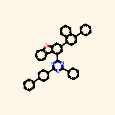 c1ccc(-c2ccc(-c3nc(-c4ccccc4)nc(-c4cc(-c5ccc(-c6ccccc6)c6ccccc56)cc5oc6ccccc6c45)n3)cc2)cc1